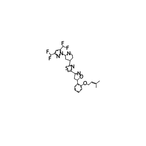 CC(C)=CCOc1ccccc1C1CC(c2csc(C3CC[N]C(n4nc(C(F)F)cc4C(F)F)C3)n2)=NO1